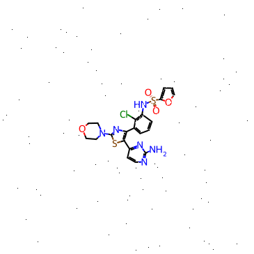 Nc1nccc(-c2sc(N3CCOCC3)nc2-c2cccc(NS(=O)(=O)c3ccco3)c2Cl)n1